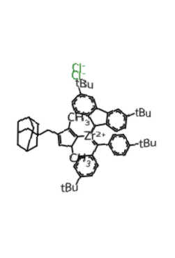 CC1=[C]([Zr+2](=[C](c2ccc(C(C)(C)C)cc2)c2ccc(C(C)(C)C)cc2)[CH]2c3ccc(C(C)(C)C)cc3-c3cc(C(C)(C)C)ccc32)C(C)C=C1CC12CC3CC(CC(C3)C1)C2.[Cl-].[Cl-]